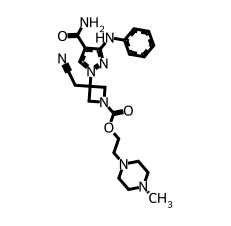 CN1CCN(CCOC(=O)N2CC(CC#N)(n3cc(C(N)=O)c(Nc4ccccc4)n3)C2)CC1